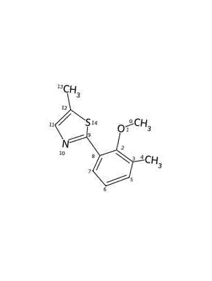 COc1c(C)cccc1-c1ncc(C)s1